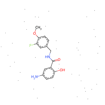 COc1ccc(CNC(=O)c2cc(N)ccc2O)cc1F